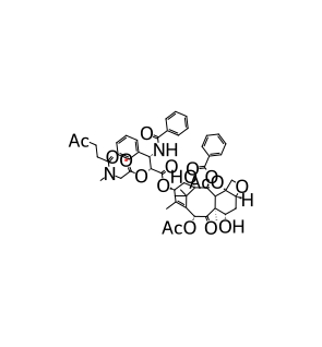 CC(=O)CCC(=O)N(C)CC(=O)O[C@@H](C(=O)O[C@H]1C[C@@]2(O)[C@@H](OC(=O)c3ccccc3)C3[C@](C)(C(=O)[C@H](OC(C)=O)C(=C1C)C2(C)C)[C@@H](O)C[C@H]1OC[C@@]31OC(C)=O)[C@@H](NC(=O)c1ccccc1)c1ccccc1